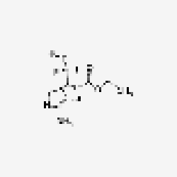 CCOC(=O)c1sc2c(N)ncn2c1C(F)(F)F.Cl